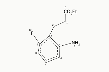 CCOC(=O)CCc1c(N)cccc1F